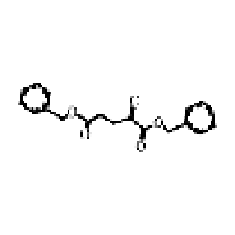 O=C(CCC(=O)C(=O)OCc1ccccc1)OCc1ccccc1